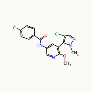 COc1ncc(NC(=O)c2ccc(Cl)cc2)cc1-c1c(Cl)cnn1C